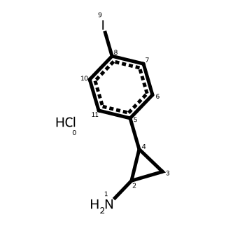 Cl.NC1CC1c1ccc(I)cc1